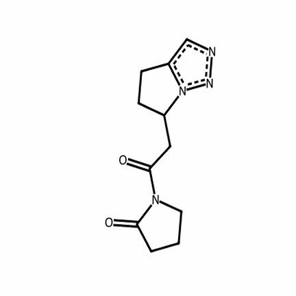 O=C1CCCN1C(=O)CC1CCc2cnnn21